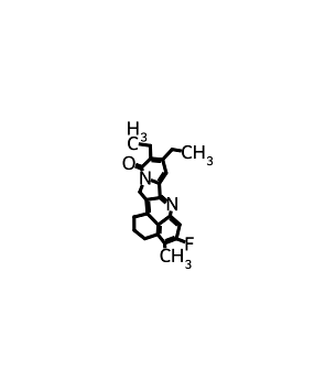 CCc1cc2n(c(=O)c1CC)Cc1c-2nc2cc(F)c(C)c3c2c1CCC3